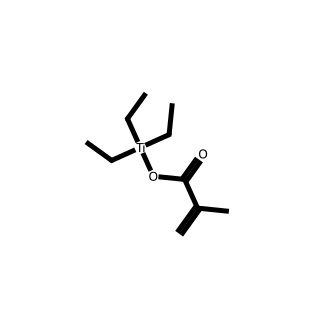 C=C(C)C(=O)[O][Ti]([CH2]C)([CH2]C)[CH2]C